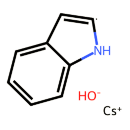 [Cs+].[OH-].[c]1cc2ccccc2[nH]1